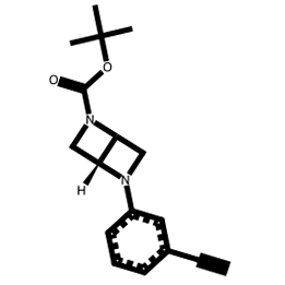 C#Cc1cccc(N2CC3[C@H]2CN3C(=O)OC(C)(C)C)c1